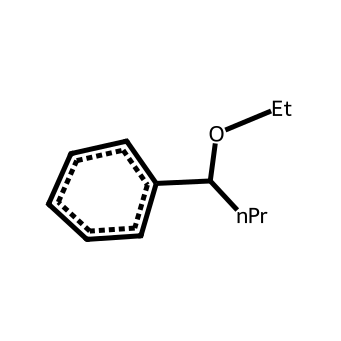 [CH2]CCC(OCC)c1ccccc1